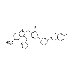 O=C(O)c1ccc2nc(Cc3ccc(-c4cccc(OCc5ccc(Cl)cc5F)c4)cc3F)n(CC3CCCO3)c2c1